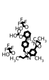 CCCc1nc2c(C)cc(C3=NC(C)(C)CO3)cc2n1Cc1ccc(-c2ccccc2OC(=O)O)cc1.O=C(O)C(F)(F)F.O=C(O)C(F)(F)F